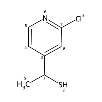 CC(S)c1ccnc(Cl)c1